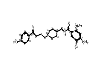 COc1cc(N)c(Cl)cc1C(=O)NCC1CCN(CCCC(=O)c2ccc(O)cc2)CC1